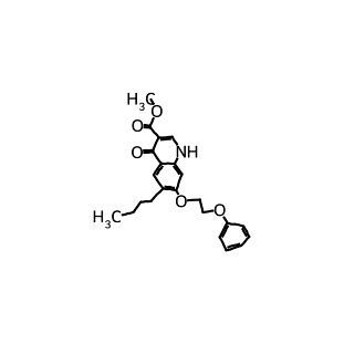 CCCCc1cc2c(=O)c(C(=O)OC)c[nH]c2cc1OCCOc1ccccc1